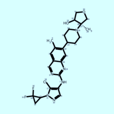 Cc1cc2cnc(Nc3cnn(C4CC4(F)F)c3Cl)nc2cc1C1CCN([C@]2(C)COCC2O)CC1